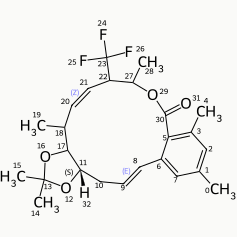 Cc1cc(C)c2c(c1)/C=C/C[C@@H]1OC(C)(C)OC1C(C)/C=C\C(C(F)(F)F)C(C)OC2=O